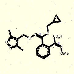 CO/N=C(/C(=O)O)c1ccccc1/C(=N\OCc1c(C)noc1C)OCC1CC1